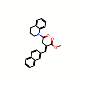 COC(=O)/C(=C/c1ccc2ccccc2c1)CC(=O)N1CCCc2ccccc21